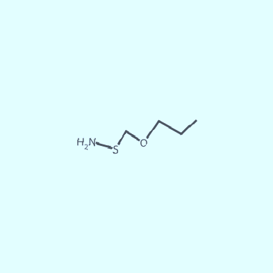 CCCOCSN